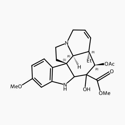 CC[C@]12C=CCN3CC[C@@]4(c5ccc(OC)cc5NC4C(O)(C(=O)OC)[C@@H]1OC(C)=O)[C@@H]32